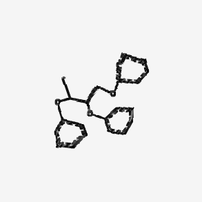 [CH2]C(Oc1ccccc1)C(COc1ccccc1)Oc1ccccc1